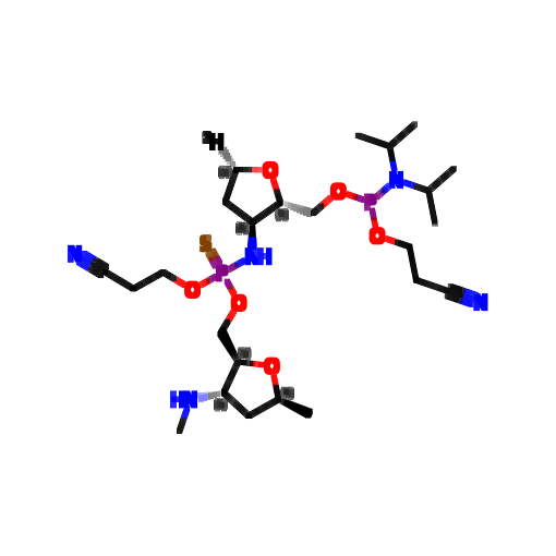 [3H][C@H]1C[C@H](NP(=S)(OCCC#N)OC[C@H]2O[C@@H](C)C[C@@H]2NC)[C@@H](COP(OCCC#N)N(C(C)C)C(C)C)O1